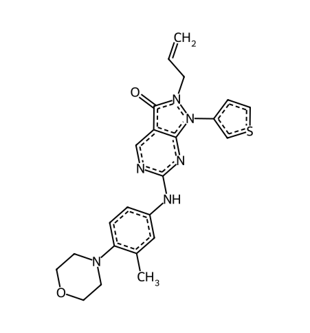 C=CCn1c(=O)c2cnc(Nc3ccc(N4CCOCC4)c(C)c3)nc2n1-c1ccsc1